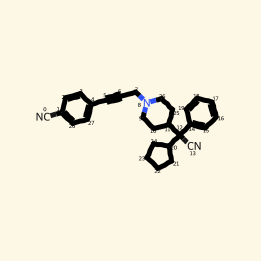 N#Cc1ccc(C#CCN2CCC(C(C#N)(c3ccccc3)C3CCCC3)CC2)cc1